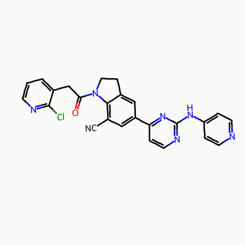 N#Cc1cc(-c2ccnc(Nc3ccncc3)n2)cc2c1N(C(=O)Cc1cccnc1Cl)CC2